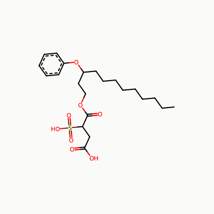 CCCCCCCCCC(CCOC(=O)C(CC(=O)O)S(=O)(=O)O)Oc1ccccc1